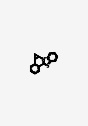 c1ccc2c(c1)-c1sc3ccccc3[n+]1C1CC21